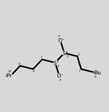 CCC(C)CC[S+]([O-])[S+]([O-])CCCC(C)C